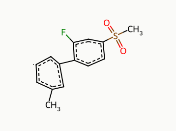 Cc1c[c]cc(-c2ccc(S(C)(=O)=O)cc2F)c1